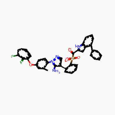 Cc1cc(Oc2cccc(F)c2F)ccc1-n1ncc(-c2ccccc2S(=O)(=O)C(=O)c2cc3c(-c4ccccc4)cccc3[nH]2)c1N